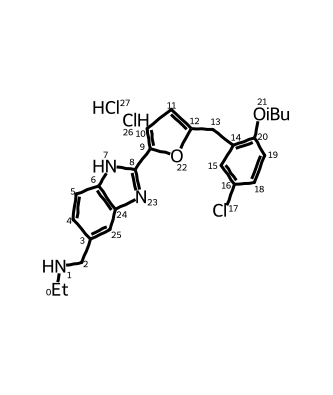 CCNCc1ccc2[nH]c(-c3ccc(Cc4cc(Cl)ccc4OCC(C)C)o3)nc2c1.Cl.Cl